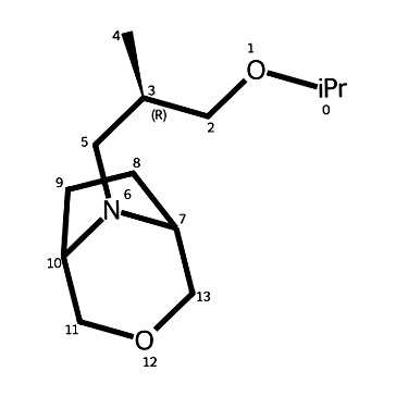 CC(C)OC[C@H](C)CN1C2CCC1COC2